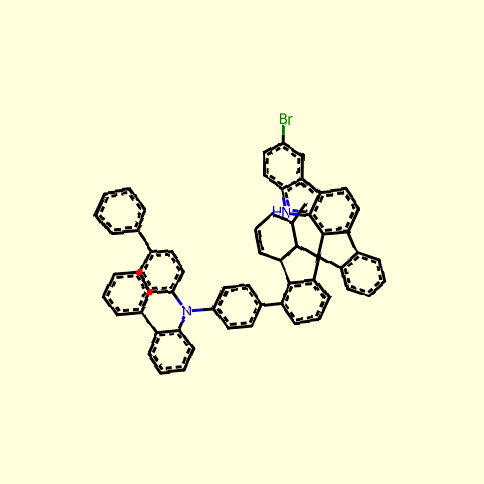 CC1CC=CC2c3c(-c4ccc(N(c5ccc(-c6ccccc6)cc5)c5ccccc5-c5ccccc5)cc4)cccc3C3(c4ccccc4-c4ccc5c([nH]c6ccc(Br)cc65)c43)C12